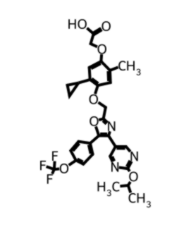 Cc1cc(OCc2nc(-c3cnc(OC(C)C)nc3)c(-c3ccc(OC(F)(F)F)cc3)o2)c(C2CC2)cc1OCC(=O)O